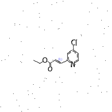 CCOC(=O)/C=C/c1cc(Cl)ccn1